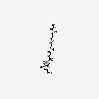 CCC(CO)OC(COC(=O)CCC(=O)NCCCOCCCNC(=O)CBr)OC